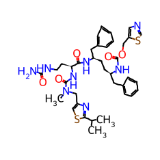 CC(C)c1nc(CN(C)C(=O)N[C@@H](CCNC(N)=O)C(=O)N[C@H](CC[C@H](Cc2ccccc2)NC(=O)OCc2cncs2)Cc2ccccc2)cs1